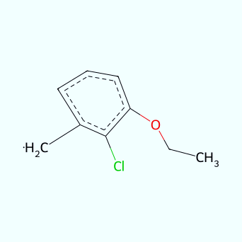 [CH2]c1cccc(OCC)c1Cl